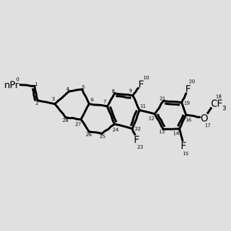 CCC/C=C/C1CCC2c3cc(F)c(-c4cc(F)c(OC(F)(F)F)c(F)c4)c(F)c3CCC2C1